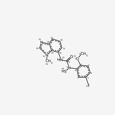 COc1ccc(F)cc1N(S)C(=O)Nc1cccc2ncn(C)c12